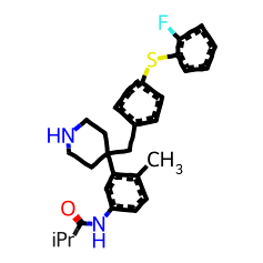 Cc1ccc(NC(=O)C(C)C)cc1C1(Cc2ccc(Sc3ccccc3F)cc2)CCNCC1